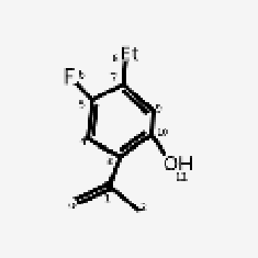 C=C(C)c1cc(F)c(CC)cc1O